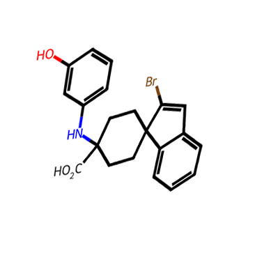 O=C(O)C1(Nc2cccc(O)c2)CCC2(CC1)C(Br)=Cc1ccccc12